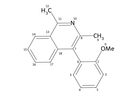 COc1ccccc1-c1c(C)nc(C)c2ccccc12